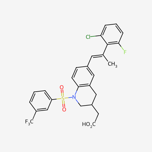 CC(=Cc1ccc2c(c1)CC(CC(=O)O)CN2S(=O)(=O)c1cccc(C(F)(F)F)c1)c1c(F)cccc1Cl